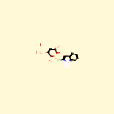 OC[C@H]1OC(Oc2c(Br)[nH]c3cccc(Cl)c23)[C@H](O)[C@@H](O)[C@H]1O